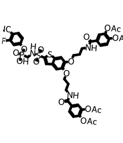 CC(=O)Oc1ccc(C(=O)NCCCOc2cc3cc(S(=O)(=O)NCP(=O)(O)Oc4ccc(C#N)c(F)c4)sc3cc2OCCCNC(=O)c2ccc(OC(C)=O)c(OC(C)=O)c2)cc1OC(C)=O